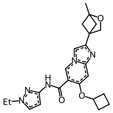 CCn1ccc(NC(=O)c2cn3cc(C45COC(C)(C4)C5)nc3cc2OC2CCC2)n1